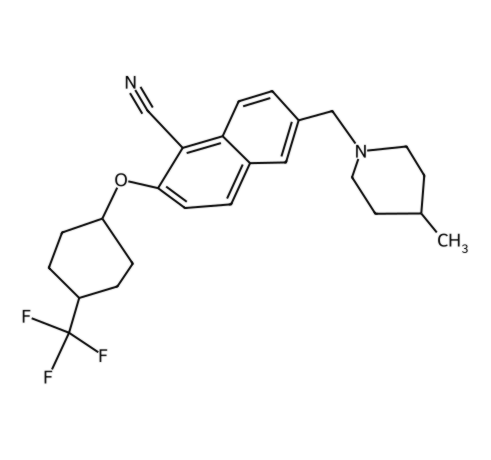 CC1CCN(Cc2ccc3c(C#N)c(OC4CCC(C(F)(F)F)CC4)ccc3c2)CC1